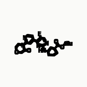 CC(C)(C)OC(=O)[C@H]1CCC[C@@H](Nc2ncc(F)c(-c3ccnc(N4CCOCC4=O)c3)n2)C1